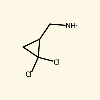 [NH]CC1CC1(Cl)Cl